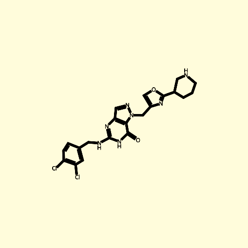 O=c1[nH]c(NCc2ccc(Cl)c(Cl)c2)nc2cnn(Cc3coc(C4CCCNC4)n3)c12